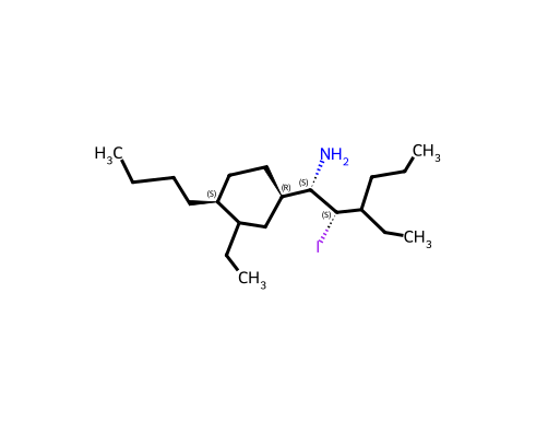 CCCC[C@H]1CC[C@@H]([C@H](N)[C@@H](I)C(CC)CCC)CC1CC